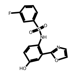 O=S(=O)(Nc1ccc(O)cc1-c1ncco1)c1cccc(F)c1